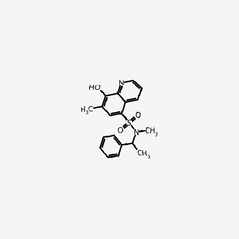 Cc1cc(S(=O)(=O)N(C)C(C)c2ccccc2)c2cccnc2c1O